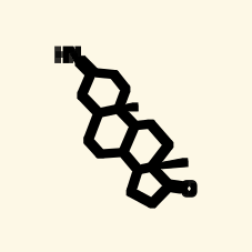 C[C@]12CCC(=N)CC1CCC1C2CC[C@]2(C)C(=O)CCC12